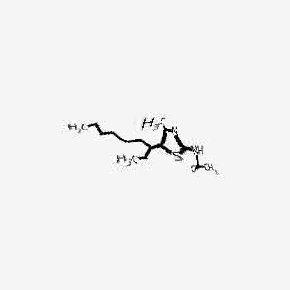 CCCCCCC(CC)c1sc(NC(C)=O)nc1C